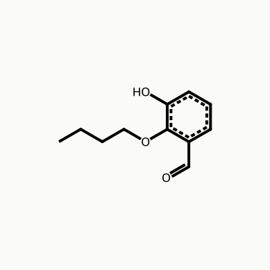 CCCCOc1c(O)cccc1C=O